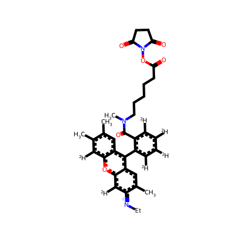 [2H]c1c([2H])c([2H])c(-c2c3cc(C)/c(=N\CC)c([2H])c-3oc3c([2H])c(C)c(C)cc23)c(C(=O)N(C)CCCCCC(=O)ON2C(=O)CCC2=O)c1[2H]